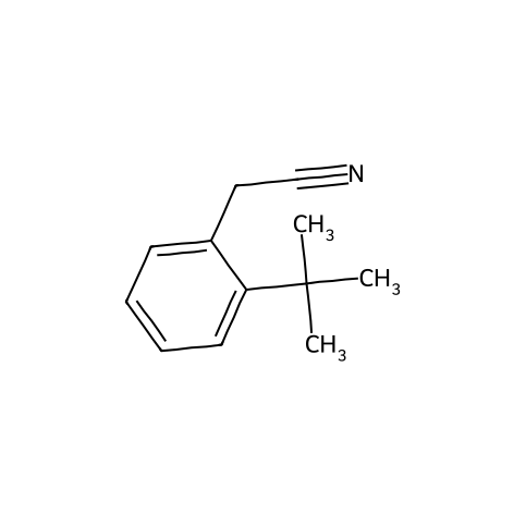 CC(C)(C)c1ccccc1CC#N